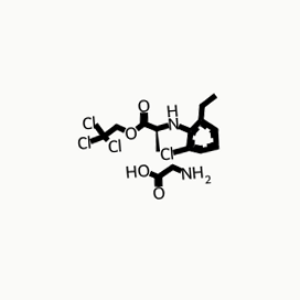 CCc1cccc(Cl)c1N[C@@H](C)C(=O)OCC(Cl)(Cl)Cl.NCC(=O)O